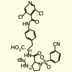 CC(C)(C)N[C@H]1CCN(S(=O)(=O)c2cccc(C#N)c2)C1C(=O)N[C@@H](Cc1ccc(NC(=O)c2c(Cl)cncc2Cl)cc1)C(=O)O